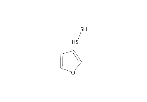 SS.c1ccoc1